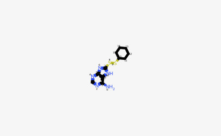 Nc1ncnc2nc(SSC3CCCCC3)[nH]c12